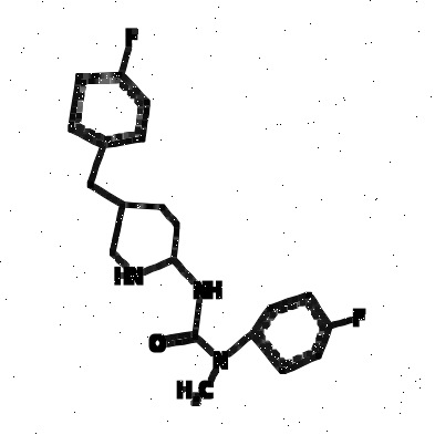 CN(C(=O)NC1CCC(Cc2ccc(F)cc2)CN1)c1ccc(F)cc1